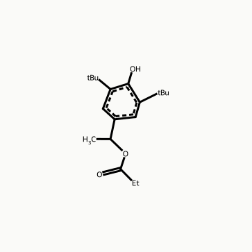 CCC(=O)OC(C)c1cc(C(C)(C)C)c(O)c(C(C)(C)C)c1